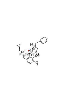 COc1ccc2c(c1O)[C@@]13CCN(CC4CC4)[C@H](C2)[C@]12CC[C@@H]1[C@H]3[C@@H](CN1Cc1ccccc1)C2